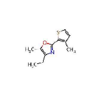 CCc1nc(-c2sccc2C)oc1C